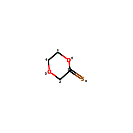 S=C1COCCO1